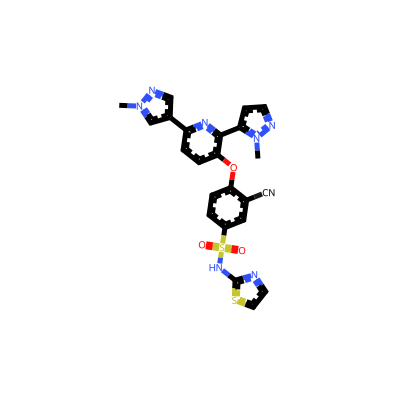 Cn1cc(-c2ccc(Oc3ccc(S(=O)(=O)Nc4nccs4)cc3C#N)c(-c3ccnn3C)n2)cn1